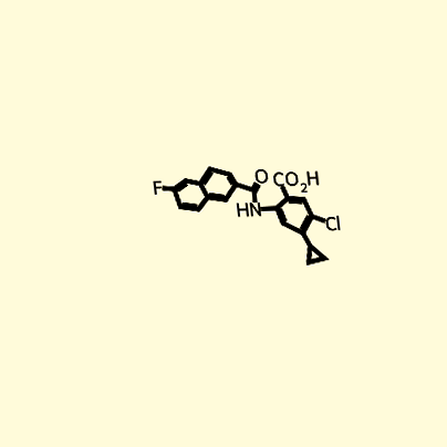 O=C(Nc1cc(C2CC2)c(Cl)cc1C(=O)O)c1ccc2cc(F)ccc2c1